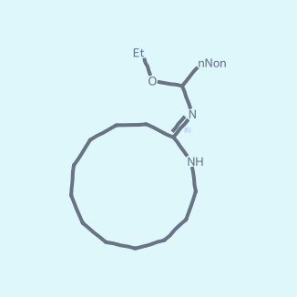 CCCCCCCCCC(/N=C1\CCCCCCCCCCCN1)OCC